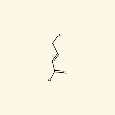 CCC(=O)/C=C/CC(C)C